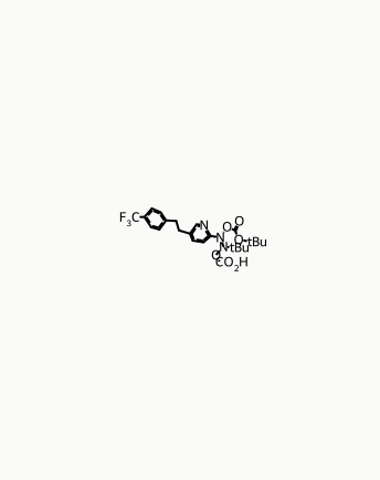 CC(C)(C)OC(=O)ON(c1ccc(CCc2ccc(C(F)(F)F)cc2)cn1)N(OC(=O)O)C(C)(C)C